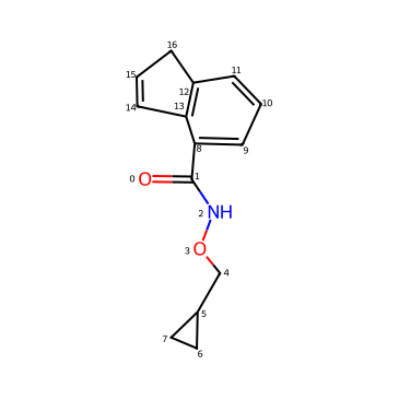 O=C(NOCC1CC1)c1cccc2c1C=CC2